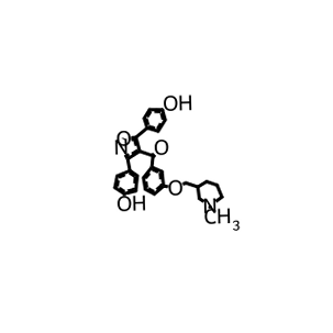 CN1CCCC(COc2cccc(C(=O)c3c(-c4ccc(O)cc4)noc3-c3ccc(O)cc3)c2)C1